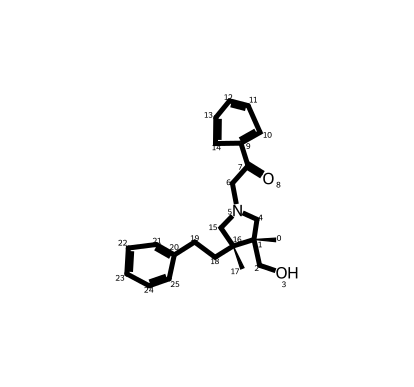 C[C@]1(CO)CN(CC(=O)c2ccccc2)C[C@@]1(C)CCc1ccccc1